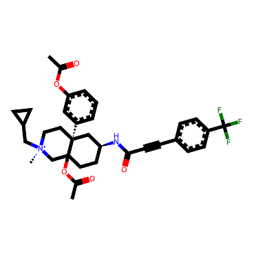 CC(=O)Oc1cccc([C@@]23CC[N@+](C)(CC4CC4)CC2(OC(C)=O)CC[C@H](NC(=O)C#Cc2ccc(C(F)(F)F)cc2)C3)c1